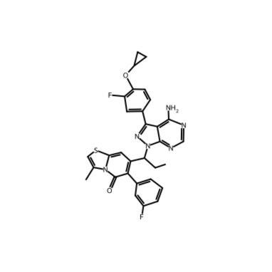 CCC(c1cc2scc(C)n2c(=O)c1-c1cccc(F)c1)n1nc(-c2ccc(OC3CC3)c(F)c2)c2c(N)ncnc21